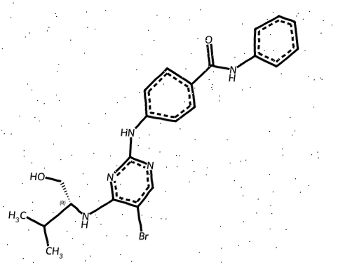 CC(C)[C@H](CO)Nc1nc(Nc2ccc(C(=O)Nc3ccccc3)cc2)ncc1Br